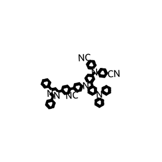 N#Cc1ccc(N(c2ccc(C#N)cc2)c2ccc3c(c2)c2cc(N(c4ccccc4)c4ccccc4)ccc2n3-c2ccc(-c3ccc(-c4cc(-c5ccccc5)nc(-c5ccccc5)n4)cc3)c(C#N)c2)cc1